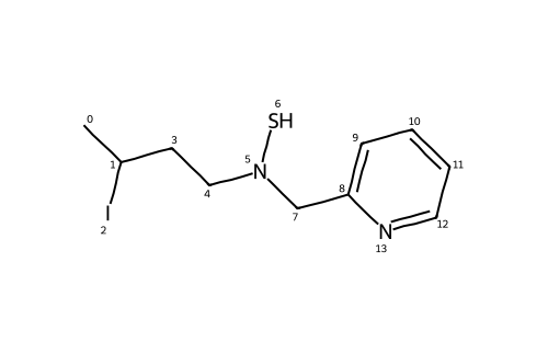 CC(I)CCN(S)Cc1ccccn1